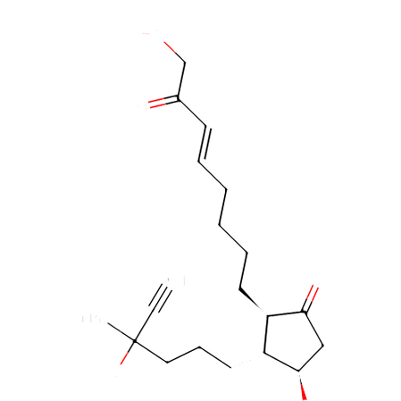 C#CC(O)(CCCC)CCC[C@H]1[C@H](O)CC(=O)[C@@H]1CCCCC=CC(=O)CO